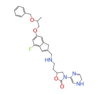 CC(COc1cc(F)c2c(c1)CC(CNCCC1CN(C3=CNCC=N3)C(=O)O1)=C2)OCc1ccccc1